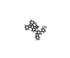 N#Cc1cccc(-c2nc(-c3ccc4c(c3)C3(c5ccccc5Oc5ccccc53)c3ccc5ccccc5c3-4)c3sc4ccccc4c3n2)c1